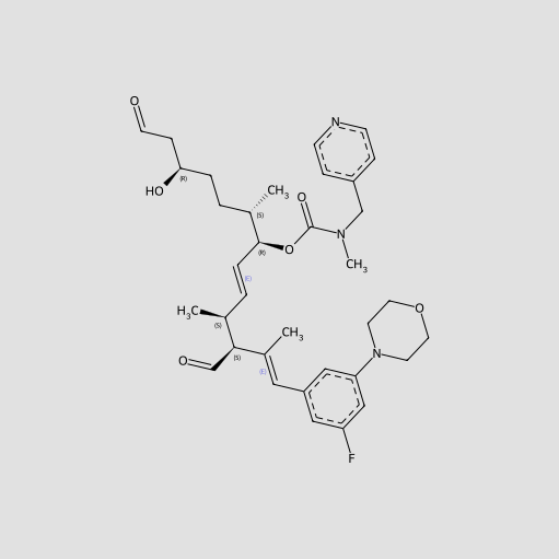 C/C(=C\c1cc(F)cc(N2CCOCC2)c1)[C@@H](C=O)[C@@H](C)/C=C/[C@H](OC(=O)N(C)Cc1ccncc1)[C@@H](C)CC[C@@H](O)CC=O